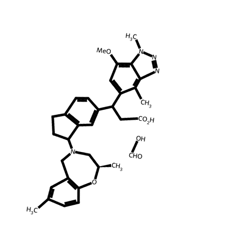 COc1cc(C(CC(=O)O)c2ccc3c(c2)C(N2Cc4cc(C)ccc4O[C@H](C)C2)CC3)c(C)c2nnn(C)c12.O=CO